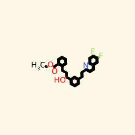 CCOC(=O)c1ccccc1CCC(O)c1cccc(/C=C/c2ccc3cc(F)c(F)cc3n2)c1